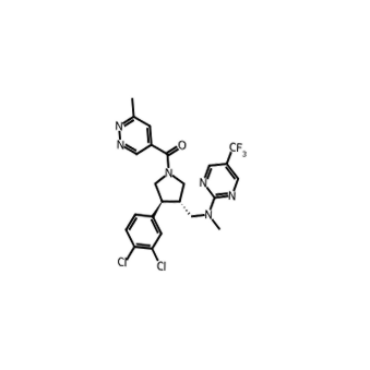 Cc1cc(C(=O)N2C[C@H](CN(C)c3ncc(C(F)(F)F)cn3)[C@@H](c3ccc(Cl)c(Cl)c3)C2)cnn1